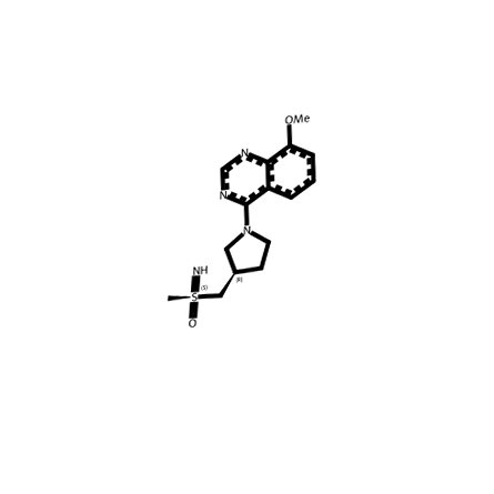 COc1cccc2c(N3CC[C@@H](C[S@@](C)(=N)=O)C3)ncnc12